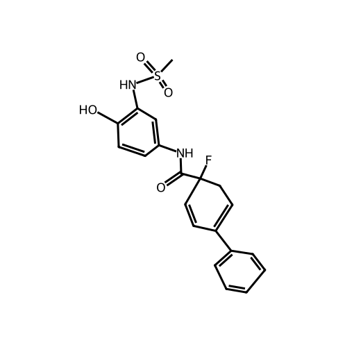 CS(=O)(=O)Nc1cc(NC(=O)C2(F)C=CC(c3ccccc3)=CC2)ccc1O